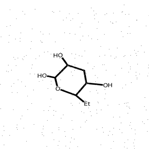 CCC1OC(O)C(O)CC1O